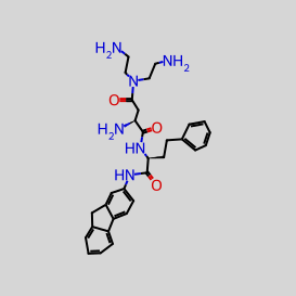 NCCN(CCN)C(=O)C[C@H](N)C(=O)N[C@@H](CCc1ccccc1)C(=O)Nc1ccc2c(c1)Cc1ccccc1-2